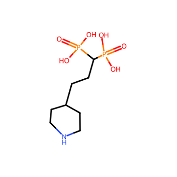 O=P(O)(O)C(CCC1CCNCC1)P(=O)(O)O